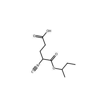 [C-]#[N+]C(CCC(=O)O)C(=O)OC(C)CC